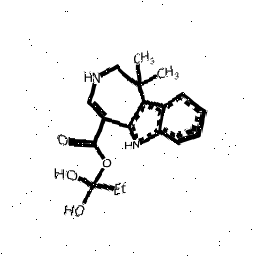 CCC(O)(O)OC(=O)C1=CNCC(C)(C)c2c1[nH]c1ccccc21